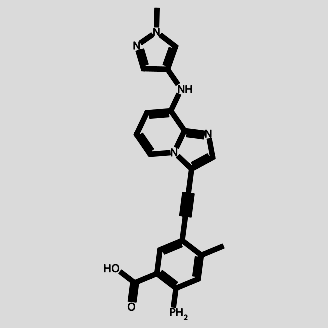 Cc1cc(P)c(C(=O)O)cc1C#Cc1cnc2c(Nc3cnn(C)c3)cccn12